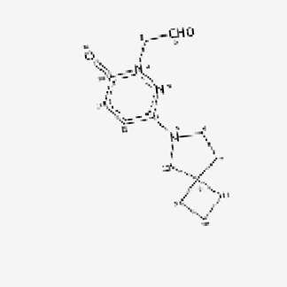 O=CCn1nc(N2CCC3(CCC3)C2)ccc1=O